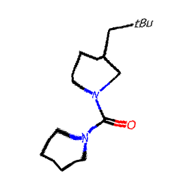 CC(C)(C)CC1CCN(C(=O)N2CCCC2)C1